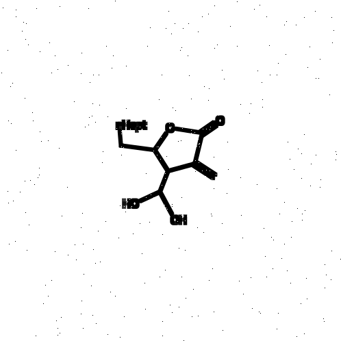 C=C1C(=O)OC(CCCCCCCC)C1C(O)O